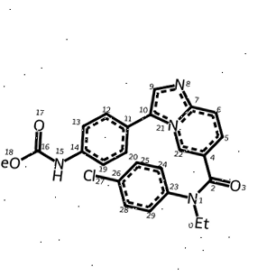 CCN(C(=O)c1ccc2ncc(-c3ccc(NC(=O)OC)cc3)n2c1)c1ccc(Cl)cc1